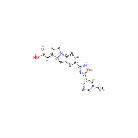 Cc1cncc(-c2nc(-c3ccc4c(c3)cc3n4CC[C@@H]3CC(=O)O)no2)c1